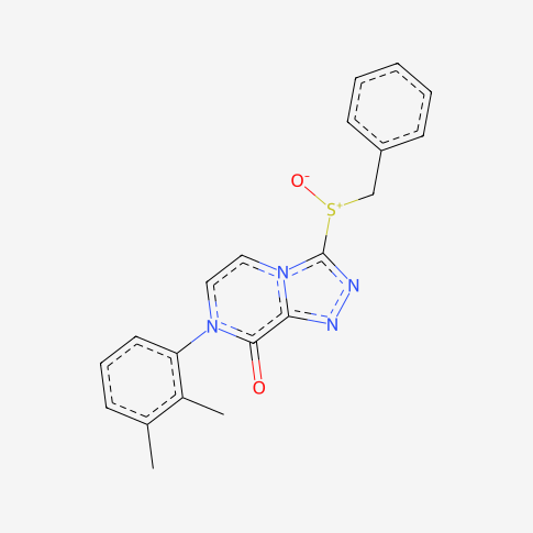 Cc1cccc(-n2ccn3c([S+]([O-])Cc4ccccc4)nnc3c2=O)c1C